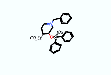 CCOC(=O)[C@@H]1CCN(Cc2ccccc2)C[C@H]1O[Si](c1ccccc1)(c1ccccc1)C(C)(C)C